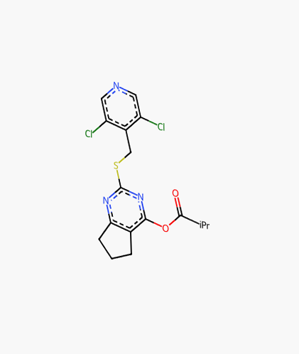 CC(C)C(=O)Oc1nc(SCc2c(Cl)cncc2Cl)nc2c1CCC2